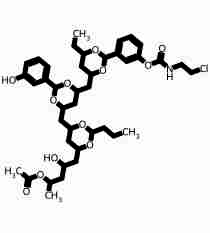 CCCC1OC(CC(O)CC(C)OC(C)=O)CC(CC2CC(CC3CC(CC)OC(c4cccc(OC(=O)NCCCl)c4)O3)OC(c3cccc(O)c3)O2)O1